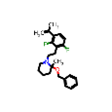 C=C(C)c1ccc(F)c(CCN2CCCCC2(C)OCc2ccccc2)c1F